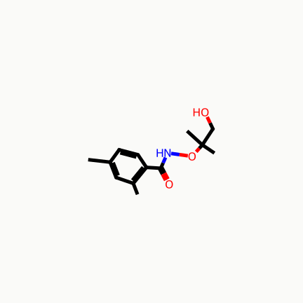 Cc1ccc(C(=O)NOC(C)(C)CO)c(C)c1